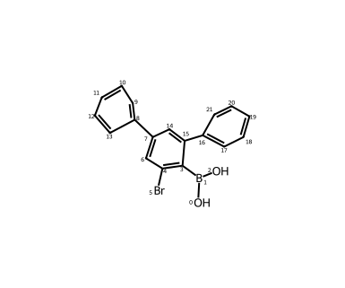 OB(O)c1c(Br)cc(-c2ccccc2)cc1-c1ccccc1